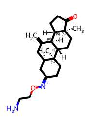 C=C1CC2C/C(=N\OCCN)CC[C@]2(C)[C@H]2CC[C@]3(C)C(=O)CC[C@H]3[C@H]12